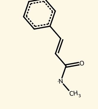 C[N]C(=O)/C=C/c1ccccc1